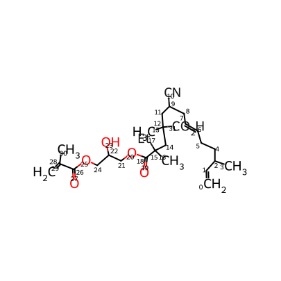 C=CC(C)CCC=CCC(C#N)CC(C)(CC(C)(CC)C(=O)OCC(O)COC(=O)C(=C)C)C(=O)O